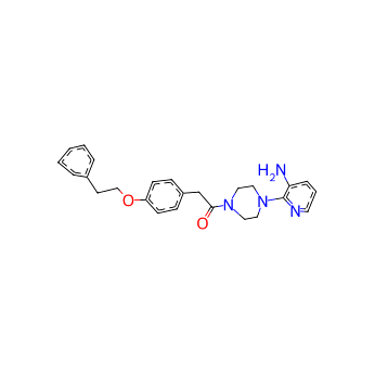 Nc1cccnc1N1CCN(C(=O)Cc2ccc(OCCc3ccccc3)cc2)CC1